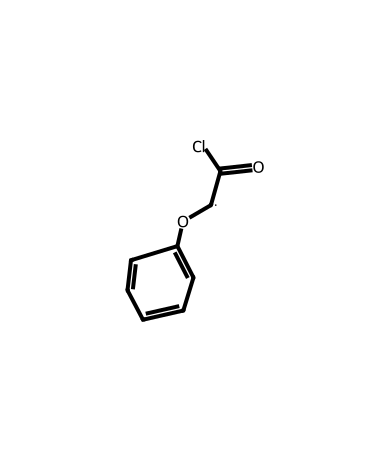 O=C(Cl)[CH]Oc1ccccc1